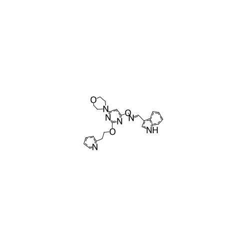 C(=N\Oc1cc(N2CCOCC2)nc(OCCc2ccccn2)n1)/c1c[nH]c2ccccc12